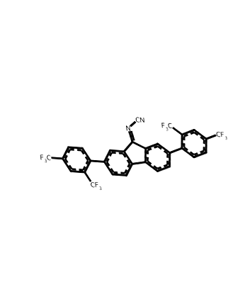 N#CN=C1c2cc(-c3ccc(C(F)(F)F)cc3C(F)(F)F)ccc2-c2ccc(-c3ccc(C(F)(F)F)cc3C(F)(F)F)cc21